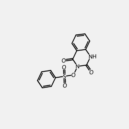 O=c1[nH]c2ccccc2c(=O)n1OS(=O)(=O)c1ccccc1